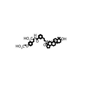 CC1(C)C(O)CCC2(C)C1CCC1(C)C2CCC2C3CCCC3(C(=O)NCCc3cccc(C(=O)NC(Cc4ccc(OCC(=O)O)cc4)C(=O)O)c3)CC[C@]21C